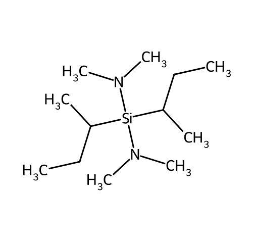 CCC(C)[Si](C(C)CC)(N(C)C)N(C)C